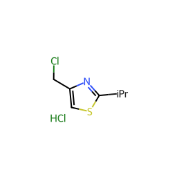 CC(C)c1nc(CCl)cs1.Cl